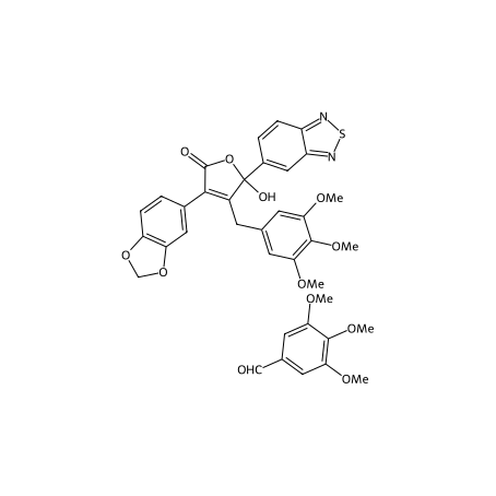 COc1cc(C=O)cc(OC)c1OC.COc1cc(CC2=C(c3ccc4c(c3)OCO4)C(=O)OC2(O)c2ccc3nsnc3c2)cc(OC)c1OC